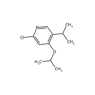 CC(C)Oc1cc(Cl)ncc1C(C)C